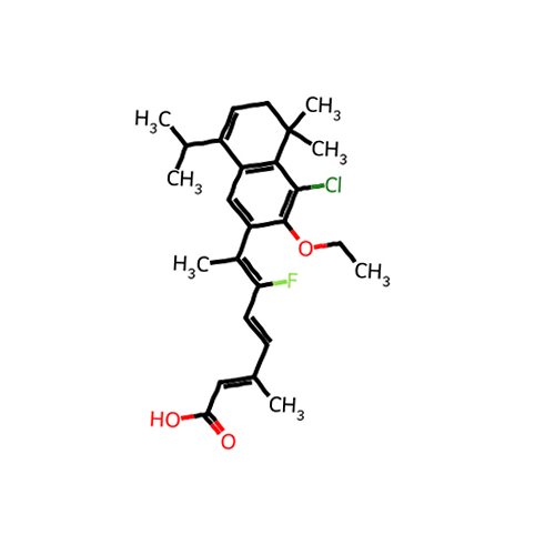 CCOc1c(C(C)=C(F)C=CC(C)=CC(=O)O)cc2c(c1Cl)C(C)(C)CC=C2C(C)C